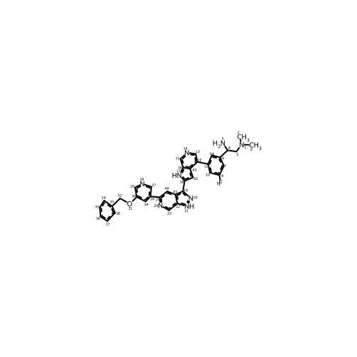 CN(C)CC(N)c1cc(F)cc(-c2cncc3[nH]c(-c4n[nH]c5cnc(-c6cncc(OCc7ccccc7)c6)cc45)cc23)c1